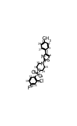 Cc1ccc(-c2csc(N3CCN(S(=O)(=O)c4ccc(F)cc4Cl)CC3)n2)cc1